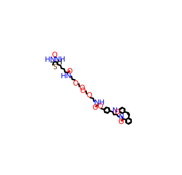 C[C@]12CSC(CCCCC(=O)NCCCOCCOOCCOCCCNC(=O)OCc3ccc(C4=NOC(CN5C(=O)c6ccccc6C#Cc6ccccc65)C4)cc3)[C@H]1NC(=O)N2